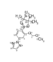 COCOc1cc(-n2nccn2)ccc1B1OC(C)(C)C(C)(C)O1